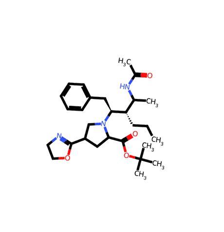 CCC[C@@H](C(C)NC(C)=O)[C@H](Cc1ccccc1)N1CC(C2=NCCO2)CC1C(=O)OC(C)(C)C